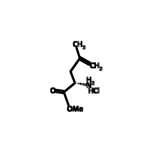 C=C(C)C[C@H](N)C(=O)OC.Cl